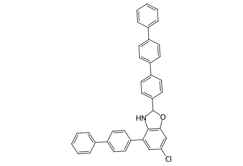 Clc1cc2c(c(-c3ccc(-c4ccccc4)cc3)c1)NC(c1ccc(-c3ccc(-c4ccccc4)cc3)cc1)O2